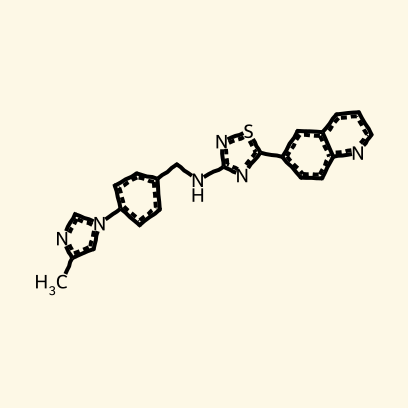 Cc1cn(-c2ccc(CNc3nsc(-c4ccc5ncccc5c4)n3)cc2)cn1